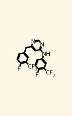 Fc1ccc(Cc2cc(Nc3ccc(F)c(C(F)(F)F)c3)ncn2)cc1C(F)(F)F